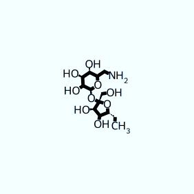 CC[C@H]1O[C@@](CO)(O[C@@H]2OC(CN)[C@@H](O)[C@H](O)C2O)[C@H](O)C1O